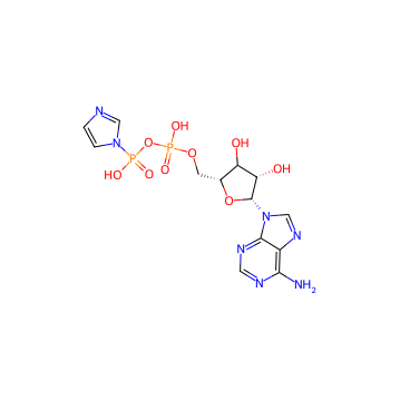 Nc1ncnc2c1ncn2[C@@H]1O[C@H](COP(=O)(O)OP(=O)(O)n2ccnc2)C(O)[C@@H]1O